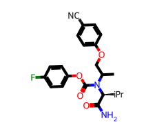 CC(C)[C@@H](C(N)=O)N(C(=O)Oc1ccc(F)cc1)C(C)COc1ccc(C#N)cc1